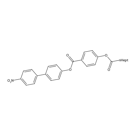 CCCCCCCC(=O)Oc1ccc(C(=O)Oc2ccc(-c3ccc([N+](=O)[O-])cc3)cc2)cc1